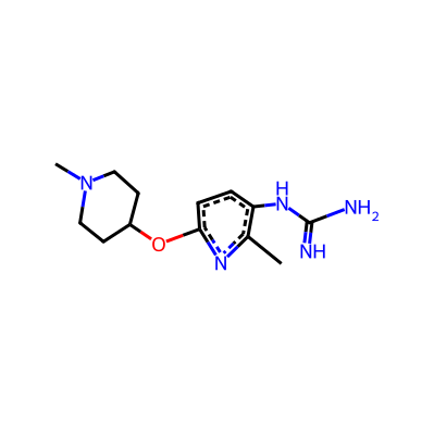 Cc1nc(OC2CCN(C)CC2)ccc1NC(=N)N